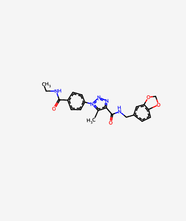 CCNC(=O)c1ccc(-n2nnc(C(=O)NCc3ccc4c(c3)OCO4)c2C)cc1